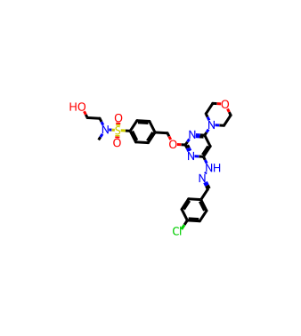 CN(CCO)S(=O)(=O)c1ccc(COc2nc(NN=Cc3ccc(Cl)cc3)cc(N3CCOCC3)n2)cc1